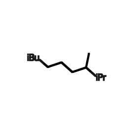 [CH2]C(C)C(C)CCCC(C)CC